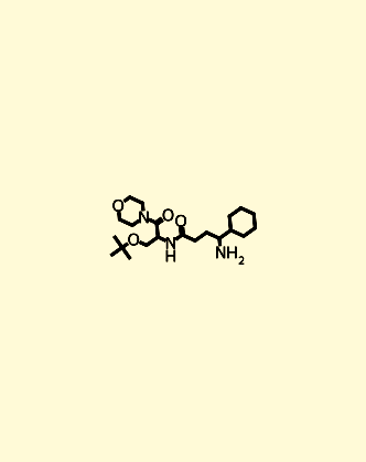 CC(C)(C)OCC(NC(=O)CCC(N)C1CCCCC1)C(=O)N1CCOCC1